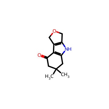 CC1(C)CC(=O)c2c([nH]c3c2COC3)C1